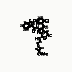 COC1CN(CCNC(=O)c2nc(NC(=O)c3nsc4ccccc34)c([C@@H](C)c3cc(F)ccc3Cl)n2CC(C)=O)C1